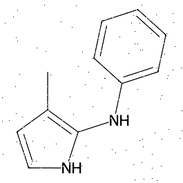 Cc1cc[nH]c1Nc1ccccc1